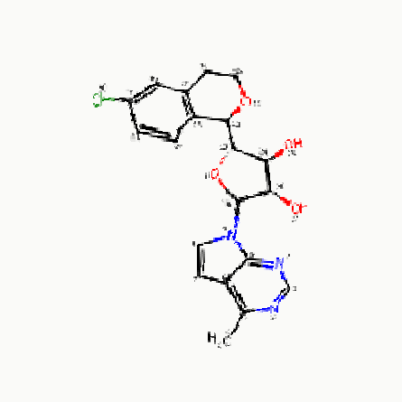 Cc1ncnc2c1ccn2C1O[C@H]([C@@H]2OCCc3cc(Cl)ccc32)[C@@H](O)[C@H]1O